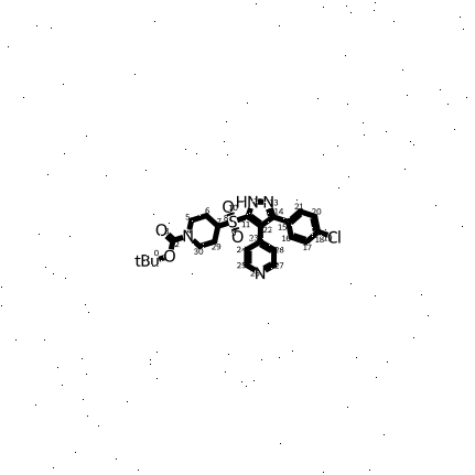 CC(C)(C)OC(=O)N1CCC(S(=O)(=O)c2[nH]nc(-c3ccc(Cl)cc3)c2-c2ccncc2)CC1